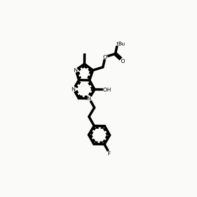 Cc1nc2ncn(CCc3ccc(F)cc3)c(O)c-2c1COC(=O)C(C)(C)C